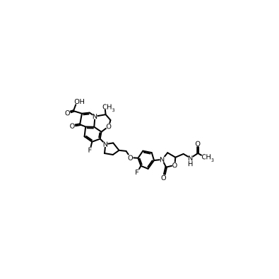 CC(=O)NCC1CN(c2ccc(OCC3CCN(c4c(F)cc5c(=O)c(C(=O)O)cn6c5c4OCC6C)C3)c(F)c2)C(=O)O1